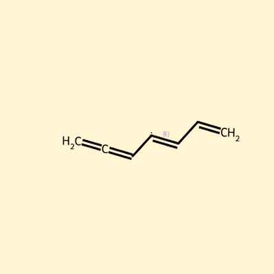 C=C=C/[C]=C/C=C